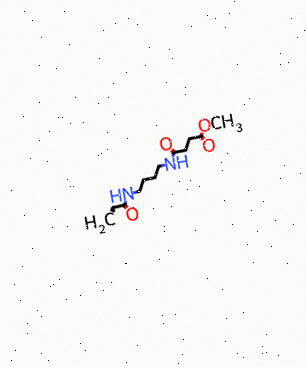 C=CC(=O)NCCCCNC(=O)CCC(=O)OC